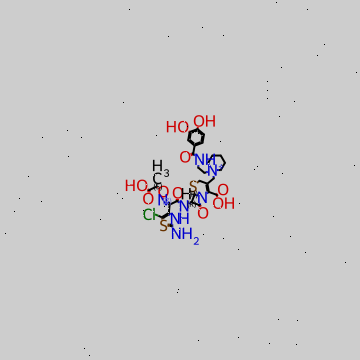 C[C@H](O/N=C(\C(=O)N[C@@H]1C(=O)N2C(C(=O)O)=C(C[N+]3(CCNC(=O)c4ccc(O)c(O)c4)CCCCC3)CS[C@H]12)c1nc(N)sc1Cl)C(=O)O